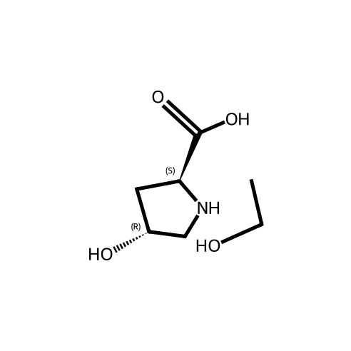 CCO.O=C(O)[C@@H]1C[C@@H](O)CN1